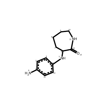 Nc1ccc(NC2CCCCNC2=O)cc1